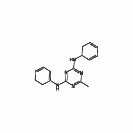 Cc1nc(NC2=CC=CCC2)nc(NC2C=CC=CC2)n1